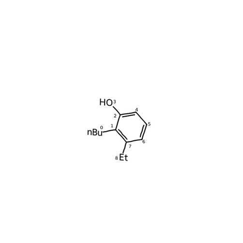 CCCCc1c(O)cccc1CC